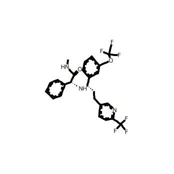 CNC(=O)[C@H](N[C@@H](CCc1ccc(C(F)(F)F)nc1)c1cccc(OC(F)(F)F)c1)c1ccccc1